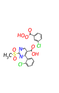 CS(=O)(=O)c1ncc(C(=O)O)c(-c2ccccc2Cl)n1.O=C(OO)c1cccc(Cl)c1